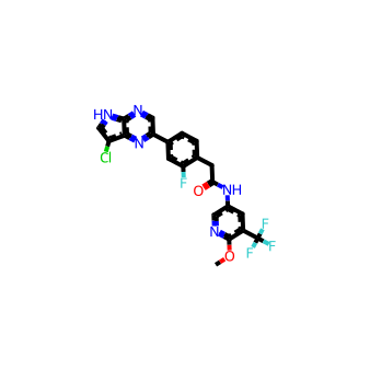 COc1ncc(NC(=O)Cc2ccc(-c3cnc4[nH]cc(Cl)c4n3)cc2F)cc1C(F)(F)F